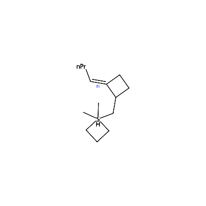 CCC/C=C1\CCC1C[SH]1(C)(C)CCC1